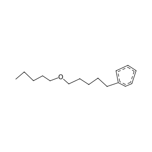 CCCCCOCCCCCc1ccccc1